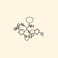 COc1ccc(CN2C(=O)[C@@H]3CCCN3c3ccc([N+](=O)[O-])cc3/C2=C(\C#N)NC2CCCCCC2)cc1